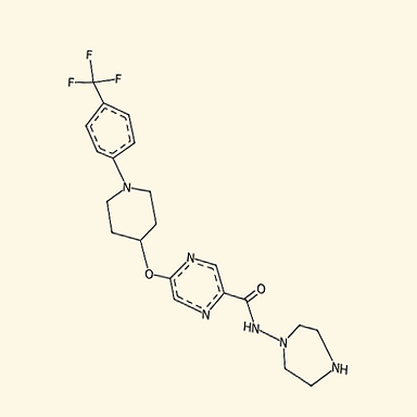 O=C(NN1CCNCC1)c1cnc(OC2CCN(c3ccc(C(F)(F)F)cc3)CC2)cn1